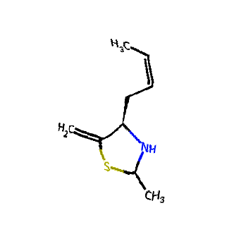 C=C1SC(C)N[C@@H]1C/C=C\C